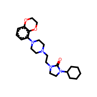 O=C1N(CCN2CCN(c3cccc4c3OCCO4)CC2)CCN1C1CCCCC1